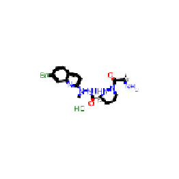 C[C@H](N)C(=O)N1CCC[C@@H](C(=O)NN(C)c2ccc3ccc(Br)cc3n2)N1.Cl